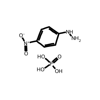 NNc1ccc([N+](=O)[O-])cc1.O=P(O)(O)O